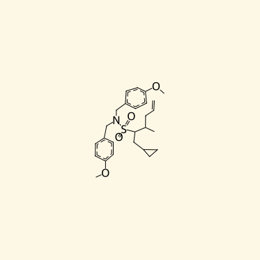 C=CCC(C)C(CC1CC1)S(=O)(=O)N(Cc1ccc(OC)cc1)Cc1ccc(OC)cc1